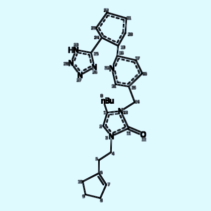 CCCCc1cn(CCC2=CCCC2)c(=O)n1Cc1ccc(-c2ccccc2-c2nnn[nH]2)nc1